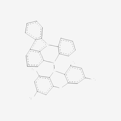 N#Cc1cc(C#N)c2c(c1)Sc1cc(C#N)cc(C#N)c1N2B1c2ccccc2-n2c3ccccc3c3cccc1c32